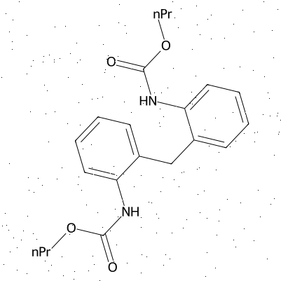 CCCOC(=O)Nc1ccccc1Cc1ccccc1NC(=O)OCCC